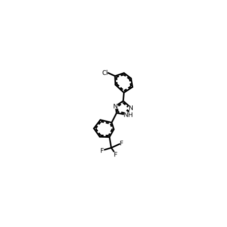 FC(F)(F)c1cccc(-c2nc(-c3cccc(Cl)c3)n[nH]2)c1